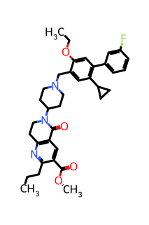 CCCc1nc2c(cc1C(=O)OC)C(=O)N(C1CCN(Cc3cc(C4CC4)c(-c4cccc(F)c4)cc3OCC)CC1)CC2